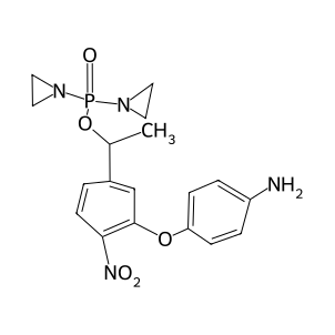 CC(OP(=O)(N1CC1)N1CC1)c1ccc([N+](=O)[O-])c(Oc2ccc(N)cc2)c1